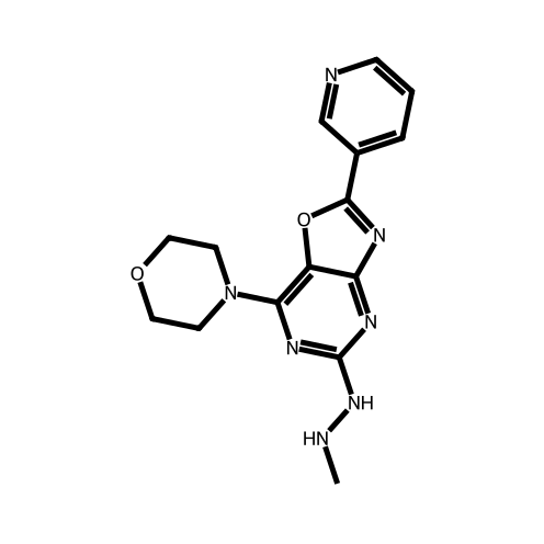 CNNc1nc(N2CCOCC2)c2oc(-c3cccnc3)nc2n1